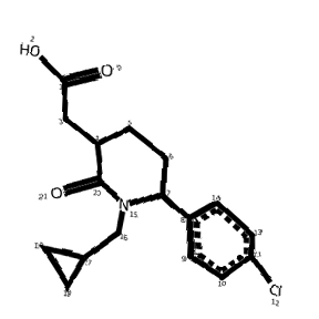 O=C(O)CC1CCC(c2ccc(Cl)cc2)N(CC2CC2)C1=O